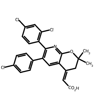 CC1(C)CC(=CC(=O)O)c2cc(-c3ccc(Cl)cc3)c(-c3ccc(Cl)cc3Cl)nc2O1